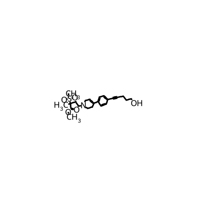 COC(=O)C(C)(CCN1CC=C(c2ccc(C#CCCCO)cc2)CC1)S(C)(=O)=O